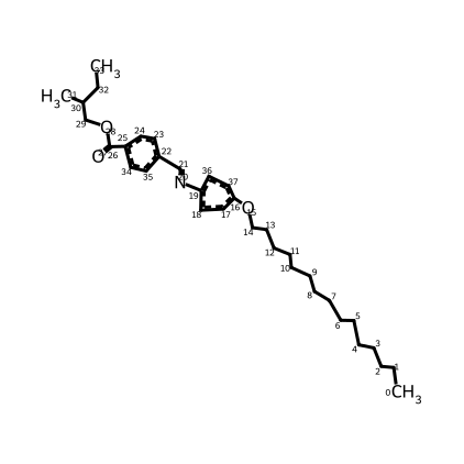 CCCCCCCCCCCCCCCOc1ccc(N=Cc2ccc(C(=O)OCC(C)CC)cc2)cc1